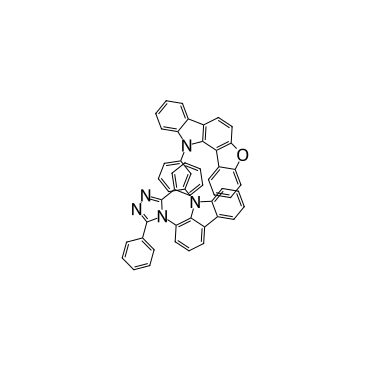 c1ccc(-c2nnc(-c3ccccc3)n2-c2cccc3c4ccccc4n(-c4cccc(-n5c6ccccc6c6ccc7oc8ccccc8c7c65)c4)c23)cc1